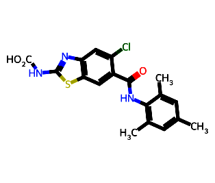 Cc1cc(C)c(NC(=O)c2cc3sc(NC(=O)O)nc3cc2Cl)c(C)c1